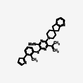 C=C(C)c1nc(Sc2cccc(C3=NC=CC3)c2C)c(NC)nc1N1CCC2(CC1)Cc1cccnc1C2